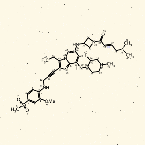 COc1cc(S(C)(=O)=O)ccc1NCC#Cc1nc2c(N[C@@H]3CCN(C)C[C@@H]3F)cc(NC3CN(C(=O)/C=C/CN(C)C)C3)cn2c1CC(F)(F)F